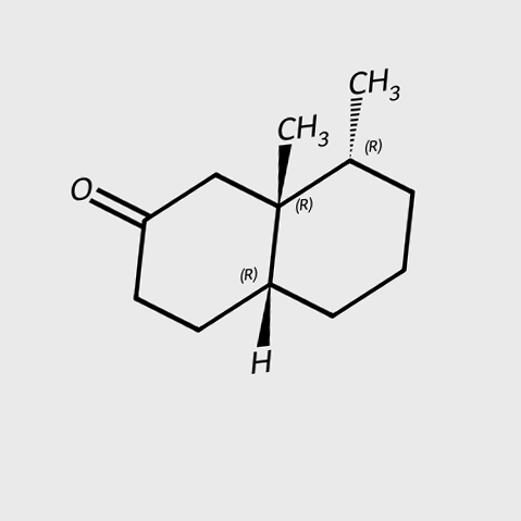 C[C@@H]1CCC[C@@H]2CCC(=O)C[C@@]21C